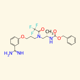 C[C@@H](CN(CCCOc1cccc(C(=N)N)c1)C(=O)C(F)(F)F)NC(=O)OCc1ccccc1